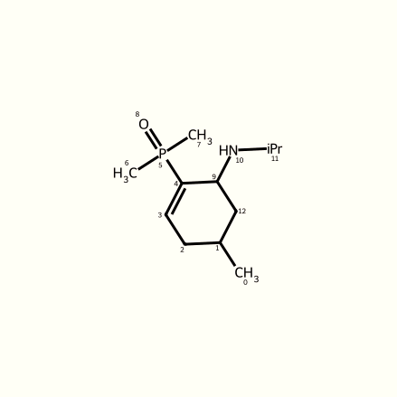 CC1CC=C(P(C)(C)=O)C(NC(C)C)C1